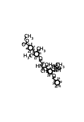 CCOC(=O)c1ccc(-c2c(C)cc(OCCN[C@@H](C)[C@@H](O)c3ccc(OCc4ccccc4)c(NS(C)(=O)=O)c3)cc2C)cc1